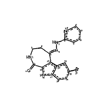 O=C1NCCC(=NNc2ccccn2)c2c1[nH]c1ccc(Br)cc21